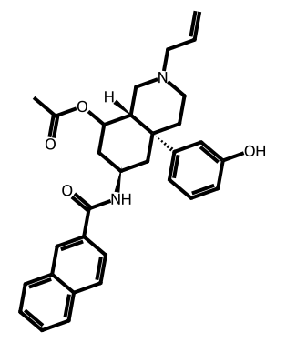 C=CCN1CC[C@@]2(c3cccc(O)c3)C[C@@H](NC(=O)c3ccc4ccccc4c3)CC(OC(C)=O)[C@@H]2C1